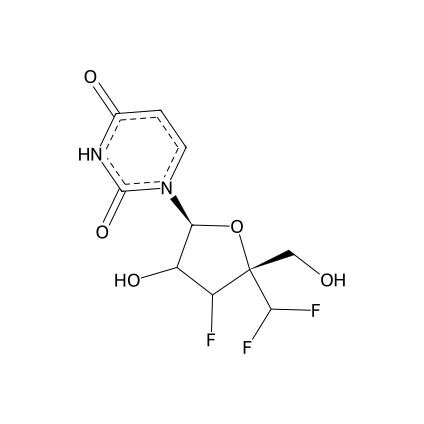 O=c1ccn([C@H]2O[C@](CO)(C(F)F)C(F)C2O)c(=O)[nH]1